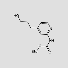 CC(C)(C)OC(=O)Nc1cc(CCCO)ccn1